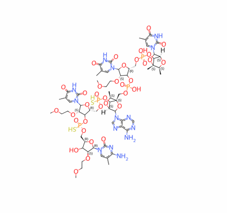 COCCO[C@H]1C(OP(=O)(O)OC[C@]23OC(n4cnc5c(N)ncnc54)[C@@H](O[C@H]2C)C3OP(=O)(S)OC[C@H]2OC(n3cc(C)c(=O)[nH]c3=O)[C@@H](OCCOC)C2OP(=O)(S)OC[C@H]2O[C@@H](n3cc(C)c(N)nc3=O)[C@@H](OCCOC)C2O)[C@@H](COP(=O)(O)OC2[C@@H]3O[C@@H](C)[C@]2(C)OC3n2cc(C)c(=O)[nH]c2=O)OC1n1cc(C)c(=O)[nH]c1=O